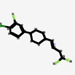 Fc1cc(C2CCC(/C=C/CC(F)F)CC2)ccc1Cl